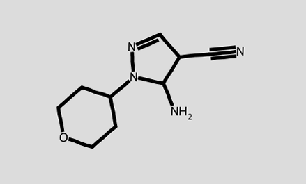 N#CC1C=NN(C2CCOCC2)C1N